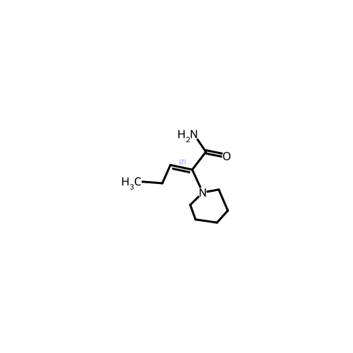 CC/C=C(/C(N)=O)N1CCCCC1